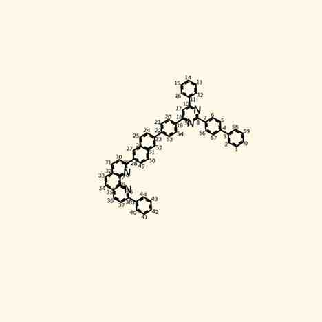 c1ccc(-c2ccc(-c3nc(-c4ccccc4)cc(-c4ccc(-c5ccc6cc(-c7ccc8ccc9ccc(-c%10ccccc%10)nc9c8n7)ccc6c5)cc4)n3)cc2)cc1